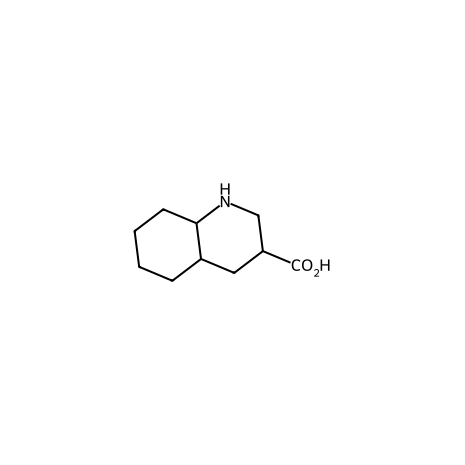 O=C(O)C1CNC2CCCCC2C1